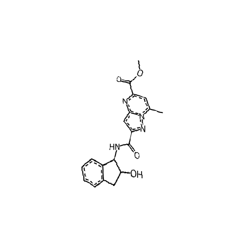 COC(=O)c1cc(C)n2nc(C(=O)NC3c4ccccc4CC3O)cc2n1